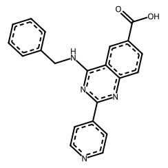 O=C(O)c1ccc2nc(-c3ccncc3)nc(NCc3ccccc3)c2c1